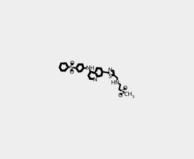 CS(=O)(=O)CCNCc1cnc(-c2ccc3c(Nc4ccc(S(=O)(=O)c5ccccc5)cc4)ccnc3c2)s1